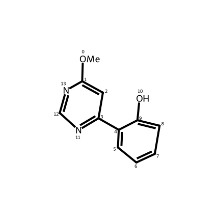 COc1cc(-c2ccccc2O)ncn1